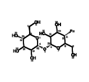 OCC1O[C@H](O[C@H]2OC(CO)[C@@H](F)C(O)C2O)C(O)C(O)[C@@H]1O